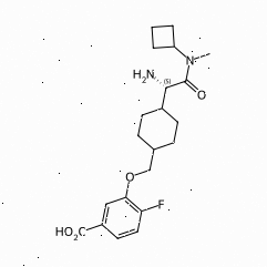 CN(C(=O)[C@@H](N)C1CCC(COc2cc(C(=O)O)ccc2F)CC1)C1CCC1